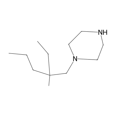 CCCC(C)(CC)CN1CCNCC1